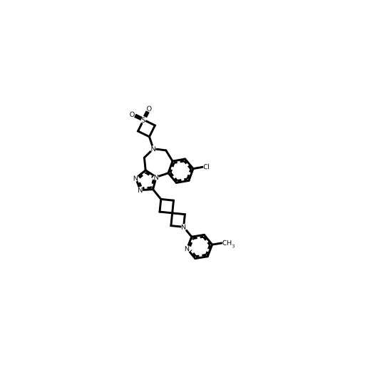 Cc1ccnc(N2CC3(CC(c4nnc5n4-c4ccc(Cl)cc4CN(C4CS(=O)(=O)C4)C5)C3)C2)c1